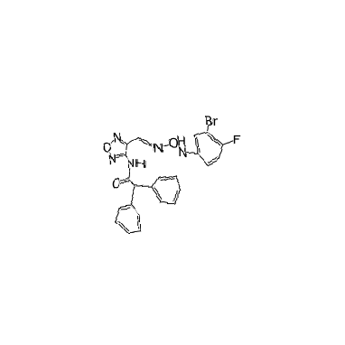 O=C(Nc1nonc1/C=N/ONc1ccc(F)c(Br)c1)C(c1ccccc1)c1ccccc1